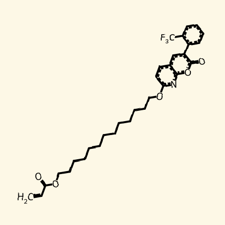 C=CC(=O)OCCCCCCCCCCCCCOc1ccc2cc(-c3ccccc3C(F)(F)F)c(=O)oc2n1